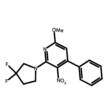 COc1cc(-c2ccccc2)c([N+](=O)[O-])c(N2CCC(F)(F)C2)n1